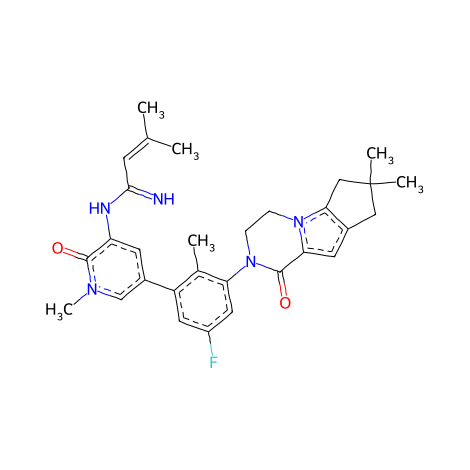 CC(C)=CC(=N)Nc1cc(-c2cc(F)cc(N3CCn4c(cc5c4CC(C)(C)C5)C3=O)c2C)cn(C)c1=O